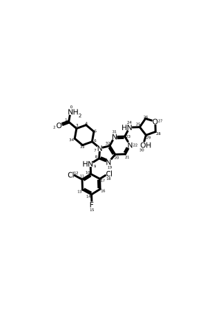 NC(=O)C1CCC(n2c(Nc3c(Cl)cc(F)cc3Cl)nc3cnc(NC4COCC4O)nc32)CC1